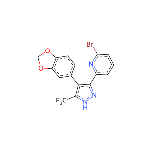 FC(F)(F)c1[nH]nc(-c2cccc(Br)n2)c1-c1ccc2c(c1)OCO2